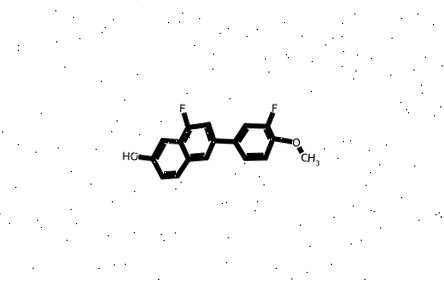 COc1ccc(-c2cc(F)c3cc(O)ccc3c2)cc1F